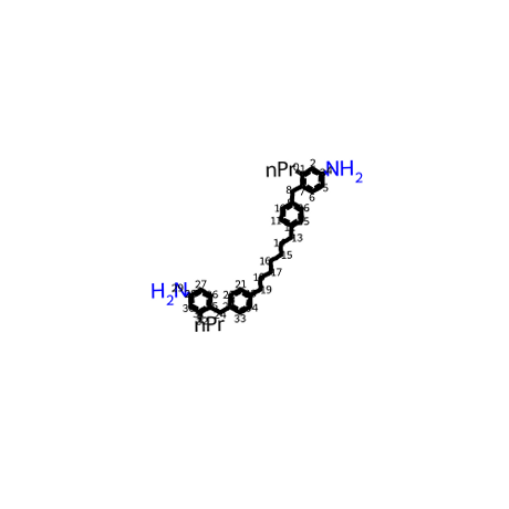 CCCc1cc(N)ccc1Cc1ccc(CCCCCCCc2ccc(Cc3ccc(N)cc3CCC)cc2)cc1